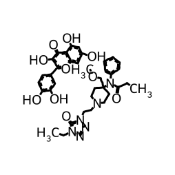 CCC(=O)N(c1ccccc1)C1(COC)CCN(CCn2nnn(CC)c2=O)CC1.O=c1c(O)c(-c2ccc(O)c(O)c2)oc2cc(O)cc(O)c12